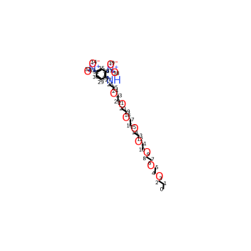 CCCOCCOCCOCCOCCOCCOCCOCCOCCNc1ccc([N+](=O)[O-])cc1[N+](=O)[O-]